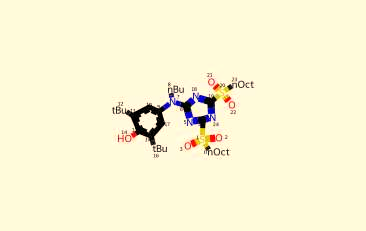 CCCCCCCCS(=O)(=O)c1nc(N(CCCC)c2cc(C(C)(C)C)c(O)c(C(C)(C)C)c2)nc(S(=O)(=O)CCCCCCCC)n1